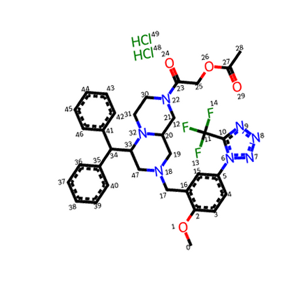 COc1ccc(-n2nnnc2C(F)(F)F)cc1CN1CC2CN(C(=O)COC(C)=O)CCN2C(C(c2ccccc2)c2ccccc2)C1.Cl.Cl